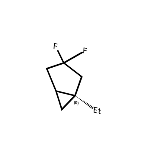 CC[C@]12CC1CC(F)(F)C2